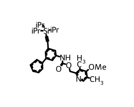 COc1c(C)cnc(COC(=O)Nc2cc(C#C[Si](C(C)C)(C(C)C)C(C)C)cc(-c3ccccc3)c2)c1C